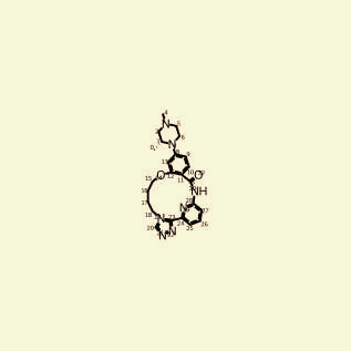 C[C@@H]1CN(C)CCN1c1ccc2c(c1)OCCCCn1cnnc1-c1cccc(n1)NC2=O